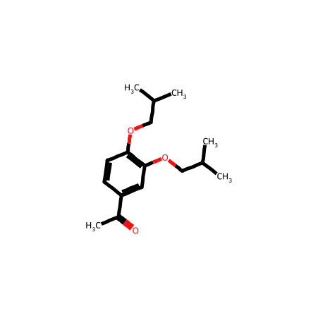 CC(=O)c1ccc(OCC(C)C)c(OCC(C)C)c1